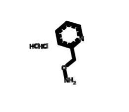 Cl.Cl.NOCc1ccccn1